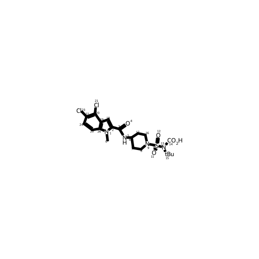 Cn1c(C(=O)NC2CCN(S(=O)(=O)N(C(=O)O)C(C)(C)C)CC2)cc2c(Cl)c(Cl)ccc21